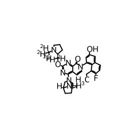 [2H]C([2H])(Oc1nc(N2C[C@H]3CC[C@@H](C2)N3)c2ccn(-c3cc(O)cc4ccc(F)c(CC)c34)c(=O)c2n1)[C@@H]1CCCN1C([2H])([2H])[2H]